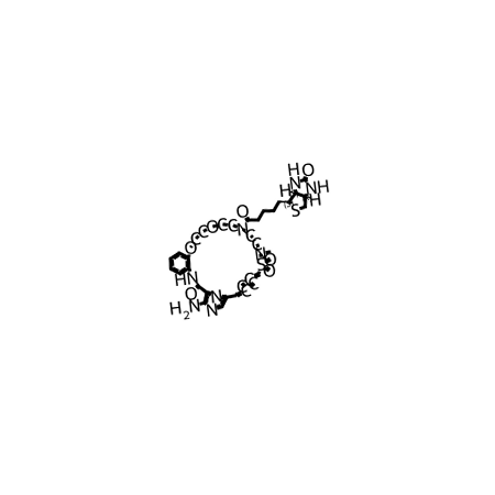 CN1CCN(C(=O)CCCC[C@@H]2SC[C@@H]3NC(=O)N[C@@H]32)CCOCCOc2ccccc2NC(=O)c2nc(cnc2N)-c2ccc(cc2)S1(=O)=O